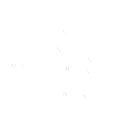 COC1CC(Nc2nc(-c3nccn3C)nn3cc(Br)c(-c4ccccn4)c23)C1